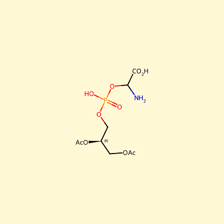 CC(=O)OC[C@H](COP(=O)(O)OC(N)C(=O)O)OC(C)=O